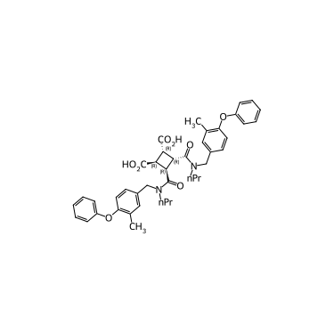 CCCN(Cc1ccc(Oc2ccccc2)c(C)c1)C(=O)[C@H]1[C@@H](C(=O)O)[C@H](C(=O)O)[C@@H]1C(=O)N(CCC)Cc1ccc(Oc2ccccc2)c(C)c1